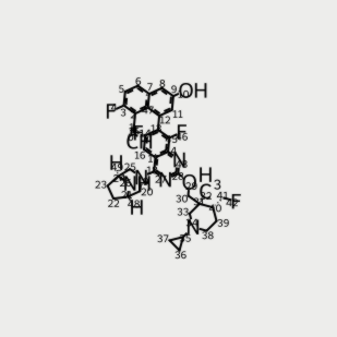 C#Cc1c(F)ccc2cc(O)cc(-c3c(F)cc4c(N5C[C@H]6CC[C@@H](C5)N6)nc(OC[C@]5(C)CN(C6CC6)CC[C@H]5CF)nc4c3F)c12